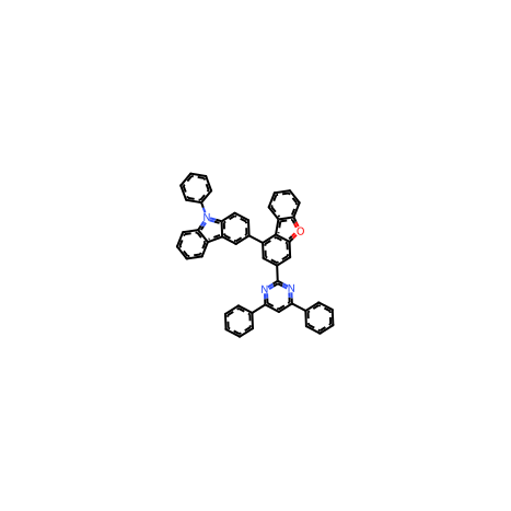 c1ccc(-c2cc(-c3ccccc3)nc(-c3cc(-c4ccc5c(c4)c4ccccc4n5-c4ccccc4)c4c(c3)oc3ccccc34)n2)cc1